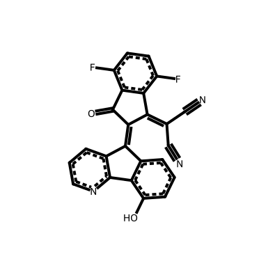 N#CC(C#N)=C1/C(=C2/c3cccnc3-c3c(O)cccc32)C(=O)c2c(F)ccc(F)c21